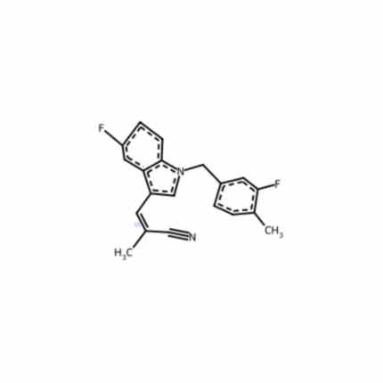 C/C(C#N)=C/c1cn(Cc2ccc(C)c(F)c2)c2ccc(F)cc12